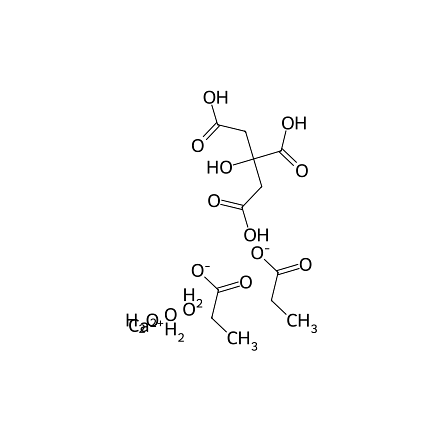 CCC(=O)[O-].CCC(=O)[O-].O.O.O.O=C(O)CC(O)(CC(=O)O)C(=O)O.[Ca+2]